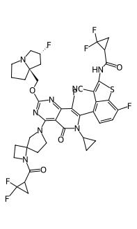 N#Cc1c(NC(=O)C2CC2(F)F)sc2c(F)ccc(-c3c(F)c4nc(OC[C@@]56CCCN5C[C@H](F)C6)nc(N5CCC6(CCN6C(=O)C6CC6(F)F)C5)c4c(=O)n3C3CC3)c12